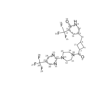 O=C(C1CC(Cc2c[nH]c(=O)c(C(F)(F)F)c2)C1)N1CCN(c2ncc(C(F)(F)F)cn2)CC1